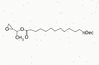 CCCCCCCCCCCCCCCCCCCCCC(=O)OC(C)C1CO1